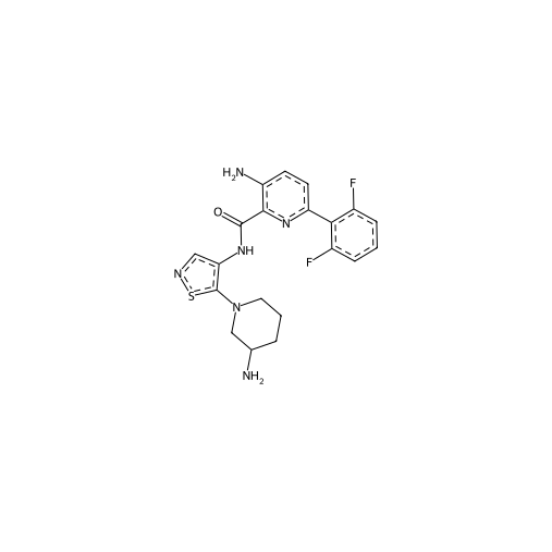 Nc1ccc(-c2c(F)cccc2F)nc1C(=O)Nc1cnsc1N1CCCC(N)C1